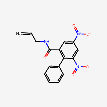 C=CCNC(=O)c1cc([N+](=O)[O-])cc([N+](=O)[O-])c1-c1ccccc1